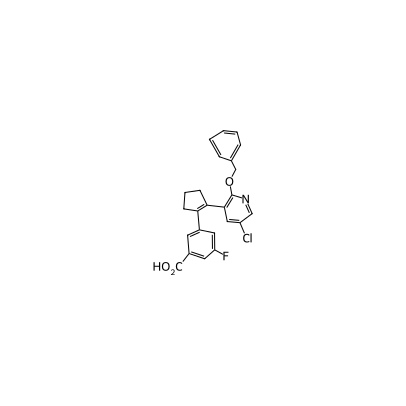 O=C(O)c1cc(F)cc(C2=C(c3cc(Cl)cnc3OCc3ccccc3)CCC2)c1